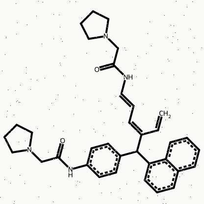 C=C/C(=C\C=C\NC(=O)CN1CCCC1)C(c1ccc(NC(=O)CN2CCCC2)cc1)c1cccc2ccccc12